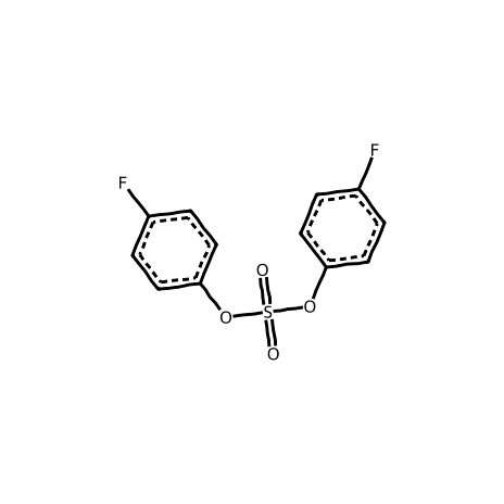 O=S(=O)(Oc1ccc(F)cc1)Oc1ccc(F)cc1